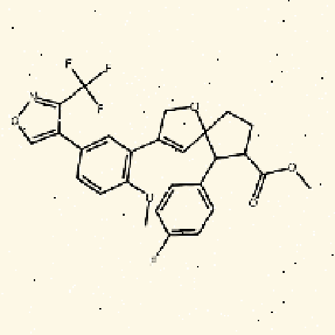 COC(=O)C1CCC2(C=C(c3cc(-c4conc4C(F)(F)F)ccc3OC)CO2)C1c1ccc(F)cc1